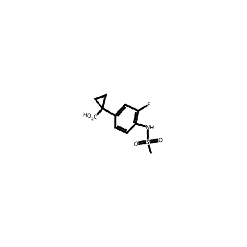 CS(=O)(=O)Nc1ccc(C2(C(=O)O)CC2)cc1F